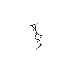 CCN1CC(C2CC2)C1